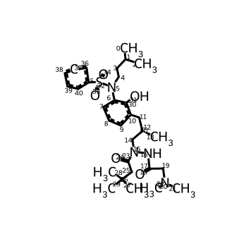 CC(C)CCN(c1cccc(C[C@@H](C)CN(NC(=O)CN(C)C)C(=O)CC(C)(C)C)c1O)S(=O)(=O)c1ccccc1